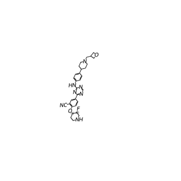 N#Cc1cc(-c2ncnc(Nc3ccc(C4CCN(CC5COC5)CC4)cc3)n2)ccc1O[C@H]1CCNC[C@H]1F